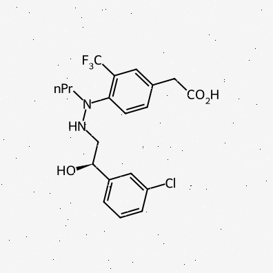 CCCN(NC[C@H](O)c1cccc(Cl)c1)c1ccc(CC(=O)O)cc1C(F)(F)F